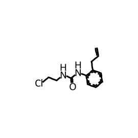 C=CCc1ccccc1NC(=O)NCCCl